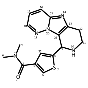 CN(C)C(=O)c1csc(C2NCCc3nc4cccnn4c32)c1